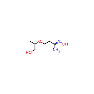 CC(CO)OCC/C(N)=N/O